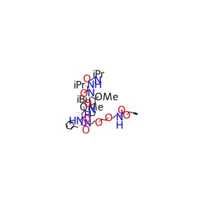 C#CCOC(=O)NCCOCCOCCNC(=O)[C@H](Cc1ccccc1)NC(=O)[C@H](C)[C@@H](OC)[C@@H]1CCCN1C(=O)CC(OC)[C@H](C(C)CC)N(C)C(=O)[C@@H](NC(=O)[C@H](C(C)C)N(C)C)C(C)C